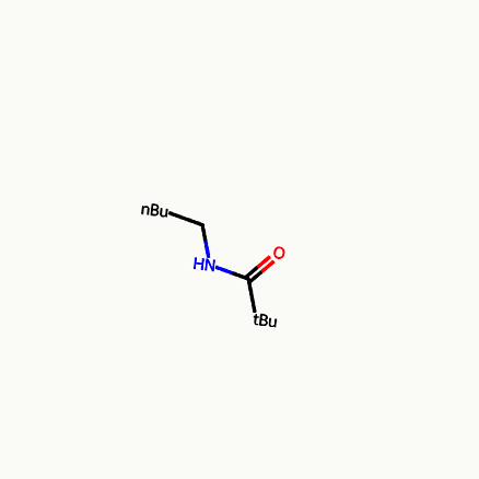 CCCCCNC(=O)C(C)(C)C